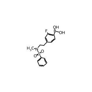 CN(CCc1ccc(B(O)O)c(F)c1)S(=O)(=O)c1ccccc1